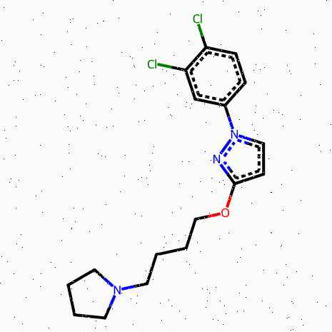 Clc1ccc(-n2ccc(OCCCCN3CCCC3)n2)cc1Cl